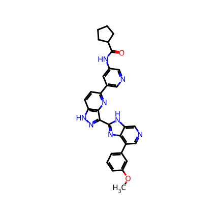 COc1cccc(-c2cncc3[nH]c(-c4n[nH]c5ccc(-c6cncc(NC(=O)C7CCCC7)c6)nc45)nc23)c1